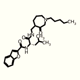 CCCCCN1CCCC(CNC(=O)[C@H](CC(C)C)NC(=O)c2cc3ccccc3o2)C(=O)C1